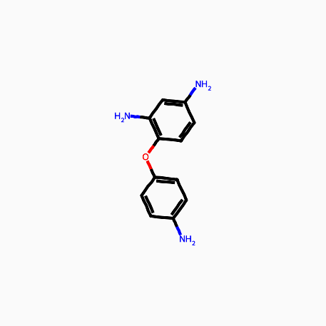 Nc1ccc(Oc2ccc(N)cc2N)cc1